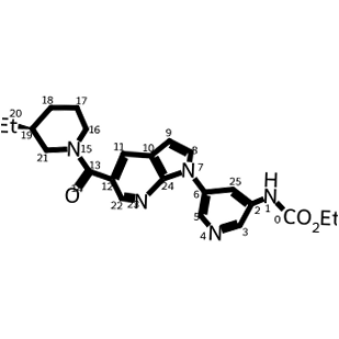 CCOC(=O)Nc1cncc(-n2ccc3cc(C(=O)N4CCC[C@H](CC)C4)cnc32)c1